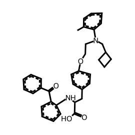 Cc1ccccc1N(CCOc1ccc(CC(Nc2ccccc2C(=O)c2ccccc2)C(=O)O)cc1)CC1CCC1